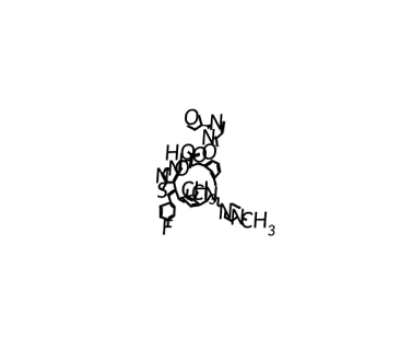 Cc1c2ccc(c1Cl)CN(CCN1CCN(C)CC1)Cc1ccc(OCc3ccnc([C@H]4CCOC4)n3)c(c1)C[C@H](C(=O)O)Oc1ncnc3sc(-c4ccc(F)cc4)c-2c13